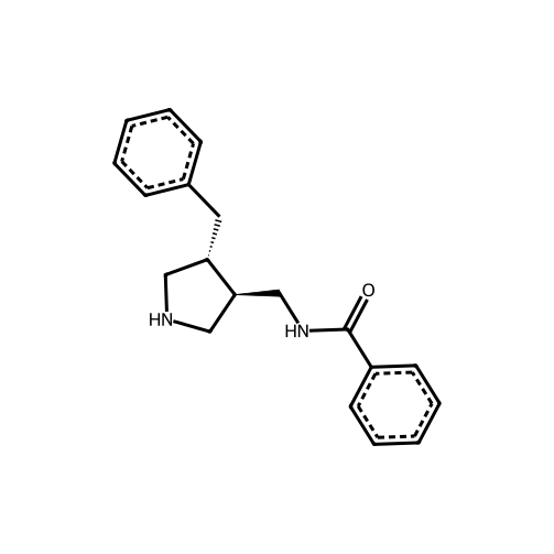 O=C(NC[C@H]1CNC[C@@H]1Cc1ccccc1)c1ccccc1